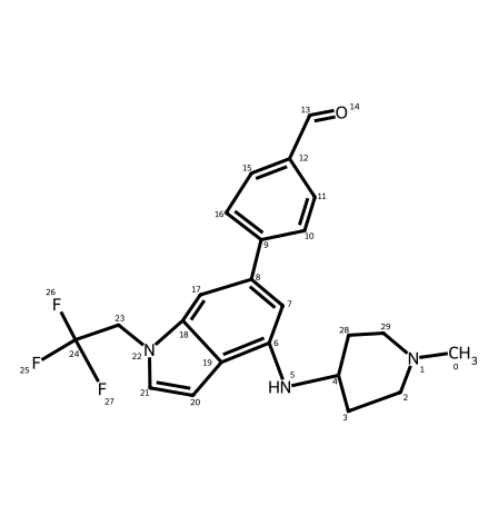 CN1CCC(Nc2cc(-c3ccc(C=O)cc3)cc3c2ccn3CC(F)(F)F)CC1